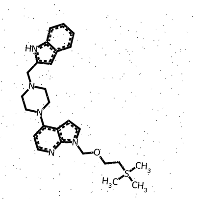 CS(C)(C)CCOCn1ccc2c(N3CCN(Cc4cc5ccccc5[nH]4)CC3)ccnc21